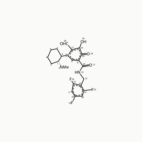 CN[C@@H]1CCCCC1n1cc(C(=O)NCc2c(F)cc(F)cc2F)c(=O)c(O)c1C=O